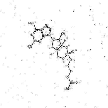 CNc1nc(N)nc2c1ncn2[C@@H]1O[C@]2(F)COP(=O)(OCCSC(=O)C(C)(C)C)O[C@H]2[C@@H]1C